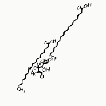 CC(O)(C(O)C=O)C(O)C(O)CO.CCCCCCCCCCCCCCCCCC(=O)O.CCCCCCCCCCCCCCCCCC(=O)O